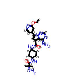 CCOc1cc(-c2cc(C(=O)NC3CCC(NC(=O)C(C)(C)N)CC3)c3c(N)ncnn23)ccn1